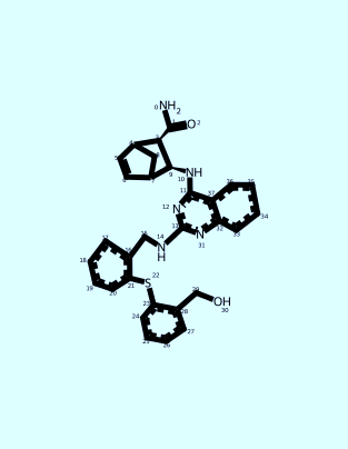 NC(=O)[C@@H]1C2C=CC(C2)[C@@H]1Nc1nc(NCc2ccccc2Sc2ccccc2CO)nc2ccccc12